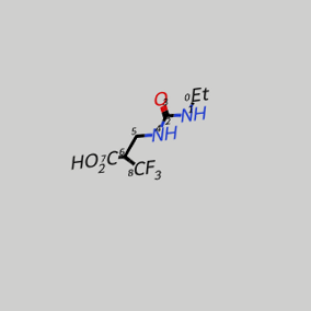 CCNC(=O)NCC(C(=O)O)C(F)(F)F